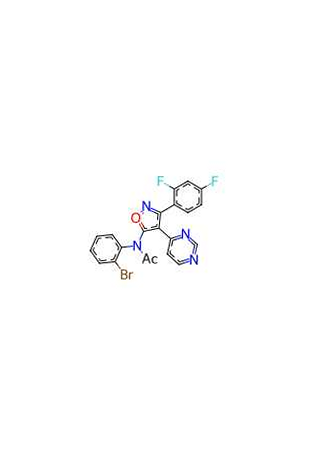 CC(=O)N(c1ccccc1Br)c1onc(-c2ccc(F)cc2F)c1-c1ccncn1